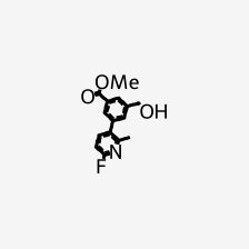 COC(=O)c1cc(CO)cc(-c2ccc(F)nc2C)c1